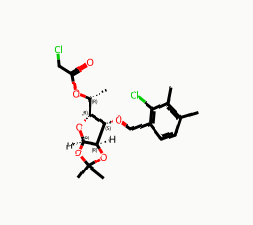 Cc1ccc(CO[C@@H]2[C@H]3OC(C)(C)O[C@H]3O[C@@H]2[C@@H](C)OC(=O)CCl)c(Cl)c1C